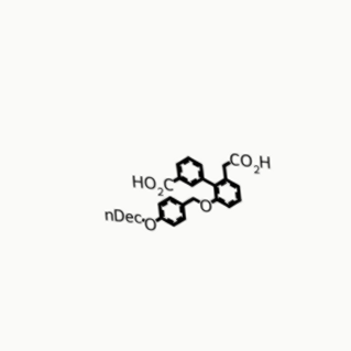 CCCCCCCCCCOc1ccc(COc2cccc(CC(=O)O)c2-c2cccc(C(=O)O)c2)cc1